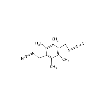 Cc1c(C)c(CN=[N+]=[N-])c(C)c(C)c1CN=[N+]=[N-]